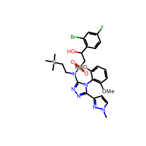 COc1cccc(OC)c1-n1c(-c2ccn(C)n2)nnc1N(CC[Si](C)(C)C)S(=O)(=O)CC(O)c1ccc(F)cc1Br